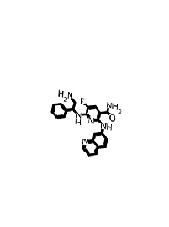 NCC(Nc1nc(Nc2ccc3cccnc3c2)c(C(N)=O)cc1F)c1ccccc1